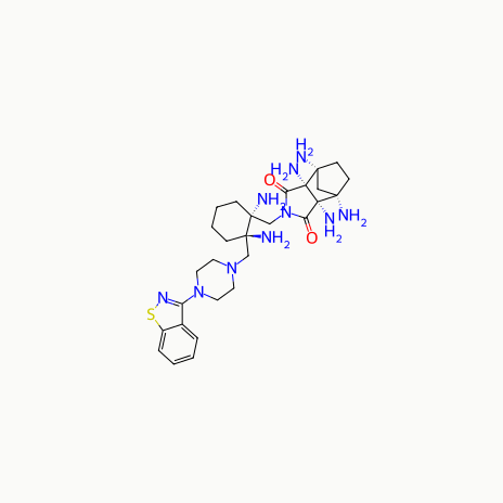 N[C@@]1(CN2CCN(c3nsc4ccccc34)CC2)CCCC[C@@]1(N)CN1C(=O)[C@@]2(N)[C@@]3(N)CC[C@](N)(C3)[C@@]2(N)C1=O